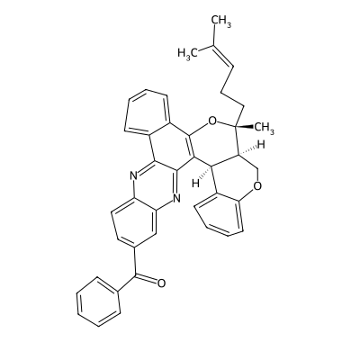 CC(C)=CCC[C@@]1(C)Oc2c(c3nc4cc(C(=O)c5ccccc5)ccc4nc3c3ccccc23)[C@@H]2c3ccccc3OC[C@@H]21